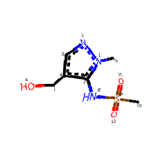 Cn1ncc(CO)c1NS(C)(=O)=O